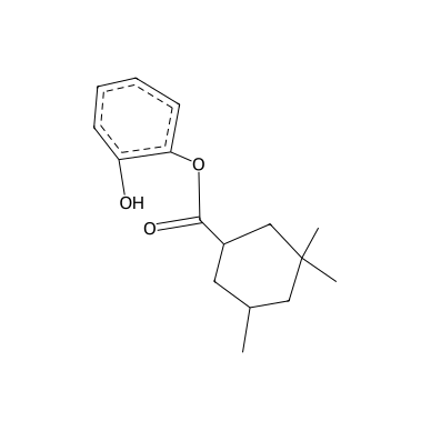 CC1CC(C(=O)Oc2ccccc2O)CC(C)(C)C1